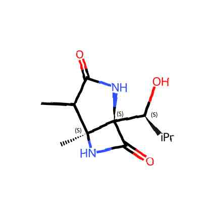 CC(C)[C@H](O)[C@@]12NC(=O)C(C)[C@]1(C)NC2=O